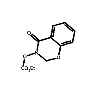 CCOC(=O)ON1COc2ccccc2C1=O